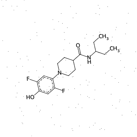 CCC(CC)NC(=O)C1CCN(c2cc(F)c(O)cc2F)CC1